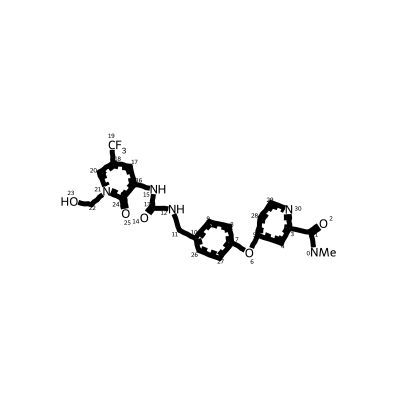 CNC(=O)c1cc(Oc2ccc(CNC(=O)Nc3cc(C(F)(F)F)cn(CO)c3=O)cc2)ccn1